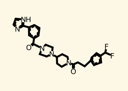 O=C(CCc1ccc(C(F)F)cc1)N1CCC(N2CCN(C(=O)c3cccc(-c4ncc[nH]4)c3)CC2)CC1